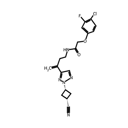 C=C(CCNC(=O)COc1ccc(Cl)c(F)c1)c1cnn([C@H]2C[C@@H](C#N)C2)n1